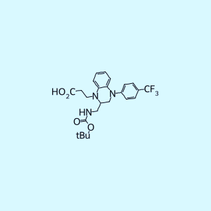 CC(C)(C)OC(=O)NCC1CN(c2ccc(C(F)(F)F)cc2)c2ccccc2N1CCC(=O)O